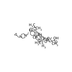 C=C(C)[C@@H]1CC[C@]2(CCN3CCN(CC4CC4)CC3)CC[C@]3(C)[C@H](CC[C@@H]4[C@@]5(C)CC[C@H](OC(=O)CC(C)(C)C(=O)O)C(C)(C)[C@@H]5CC[C@]43C)[C@@H]12